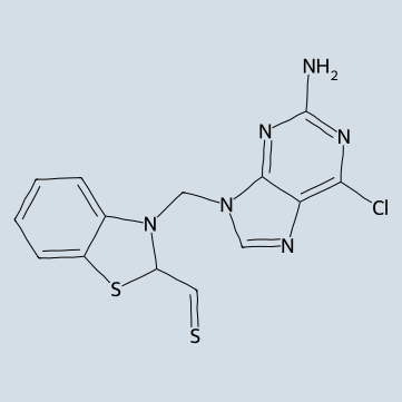 Nc1nc(Cl)c2ncn(CN3c4ccccc4SC3C=S)c2n1